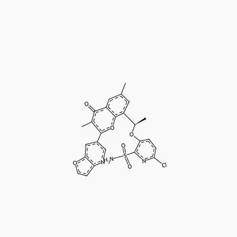 Cc1cc([C@@H](C)Oc2ccc(Cl)nc2S(N)(=O)=O)c2oc(-c3cnc4ccoc4c3)c(C)c(=O)c2c1